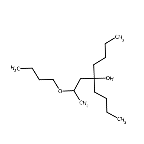 CCCCOC(C)CC(O)(CCCC)CCCC